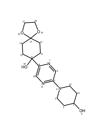 OC1CCN(c2cnc(C3(O)CCC4(CC3)OCCO4)cn2)CC1